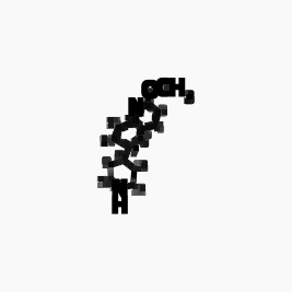 COc1ccc2cc(C3CCNCC3)ccc2n1